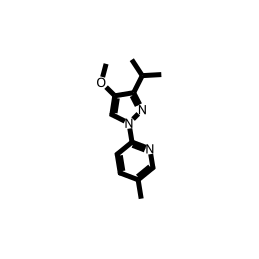 COc1cn(-c2ccc(C)cn2)nc1C(C)C